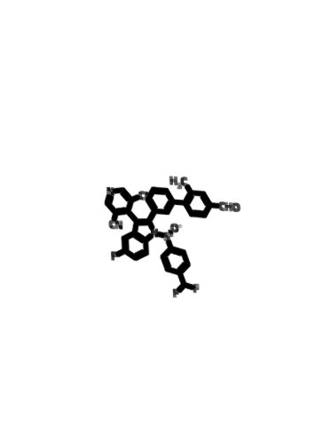 Cc1cc(C=O)ccc1-c1cccc(-c2c(-c3c(C#N)cncc3C#N)c3cc(F)ccc3n2[S+]([O-])c2ccc(C(F)F)cc2)c1